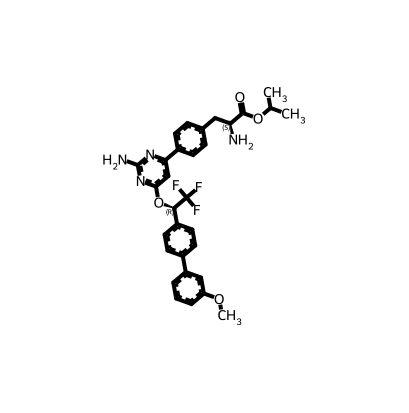 COc1cccc(-c2ccc([C@@H](Oc3cc(-c4ccc(C[C@H](N)C(=O)OC(C)C)cc4)nc(N)n3)C(F)(F)F)cc2)c1